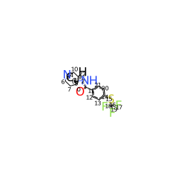 O=C(N[C@@H]1CN2CCC1CC2)c1ccc(SC(F)(F)F)cc1